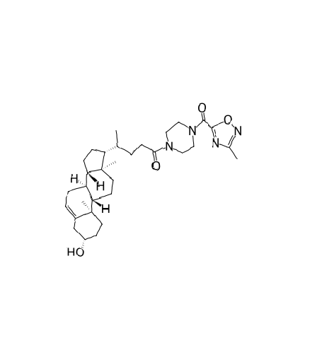 Cc1noc(C(=O)N2CCN(C(=O)CCC(C)[C@H]3CC[C@H]4[C@@H]5CC=C6C[C@@H](O)CC[C@]6(C)[C@H]5CC[C@]34C)CC2)n1